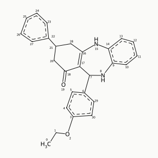 CCOc1ccc(C2Nc3ccccc3NC3=C2C(=O)CC(c2ccccc2)C3)cc1